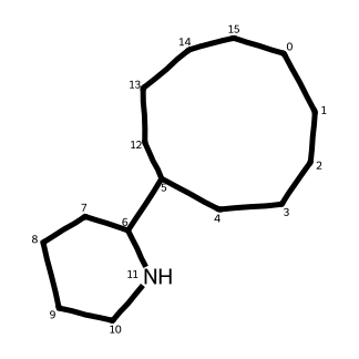 C1CCCCC(C2CCCCN2)CCCC1